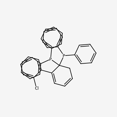 Clc1ccccc1C1=CC=CCC1(P(c1ccccc1)c1ccccc1)P(c1ccccc1)c1ccccc1